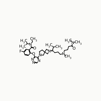 CCN(C(=O)c1cc(F)ccc1Oc1nncnc1N1CCC2(C1)CN([C@H](CCCN(C)CCCC(=O)N(C)C)C(C)C)C2)C(C)C